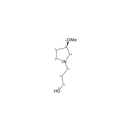 CO[C@@H]1CCN(CCCO)C1